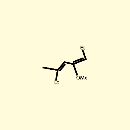 CC/C=C(\C=C(\C)CC)OC